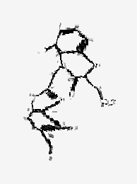 CCOC(=O)CC1Oc2cccc(F)c2N(Cc2nc3c(F)c(F)ccc3s2)C1=O